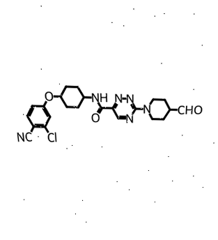 N#Cc1ccc(OC2CCC(NC(=O)c3cnc(N4CCC(C=O)CC4)nn3)CC2)cc1Cl